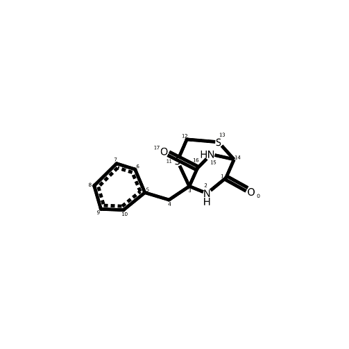 O=C1NC2(Cc3ccccc3)SCSC1NC2=O